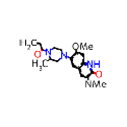 C=CC(=O)N1CCN(c2cc3cc(NC)c(=O)[nH]c3cc2OC)C[C@H]1C